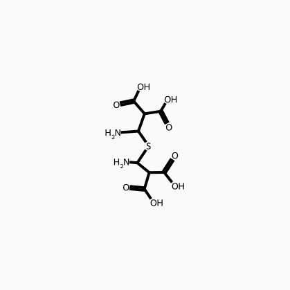 NC(SC(N)C(C(=O)O)C(=O)O)C(C(=O)O)C(=O)O